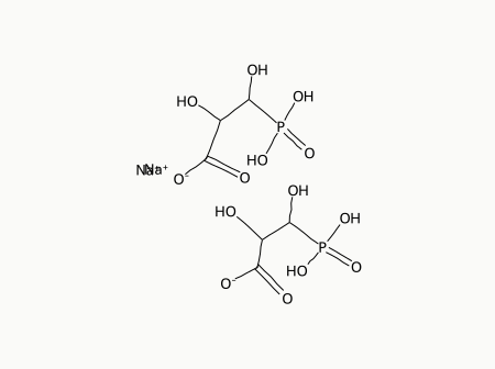 O=C([O-])C(O)C(O)P(=O)(O)O.O=C([O-])C(O)C(O)P(=O)(O)O.[Na+].[Na+]